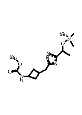 CC(O[Si](C)(C)C(C)(C)C)c1nnc(CC2CC(NC(=O)OC(C)(C)C)C2)s1